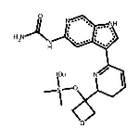 CC(C)(C)[Si](C)(C)OC1(C2CC=CC(c3c[nH]c4cnc(NC(N)=O)cc34)=N2)COC1